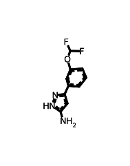 Nc1cc(-c2cccc(OC(F)F)c2)n[nH]1